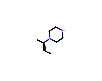 [CH2]/C=C(/C)N1CCNCC1